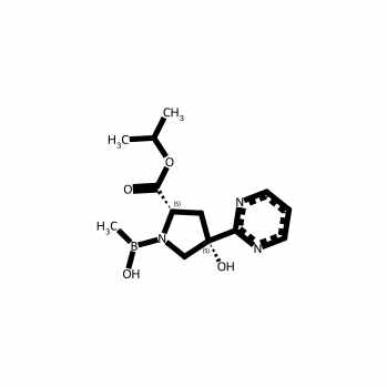 CB(O)N1C[C@](O)(c2ncccn2)C[C@H]1C(=O)OC(C)C